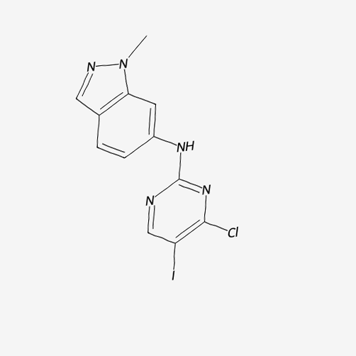 Cn1ncc2ccc(Nc3ncc(I)c(Cl)n3)cc21